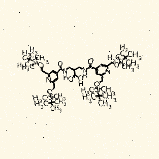 CC(C)(C)[Si](C)(C)OCc1cc(C(=O)NCC(CNC(=O)c2cc(CO[Si](C)(C)C(C)(C)C)nc(CO[Si](C)(C)C(C)(C)C)c2)C(=O)O)cc(CO[Si](C)(C)C(C)(C)C)n1